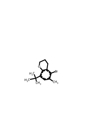 Cc1cc(C(C)(C)C)c2c(c1Br)CCCO2